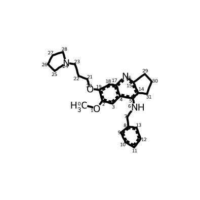 COc1cc2c(NCc3ccccc3)c3c(nc2cc1OCCCN1CCCC1)CCC3